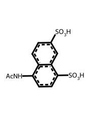 CC(=O)Nc1ccc(S(=O)(=O)O)c2cc(S(=O)(=O)O)ccc12